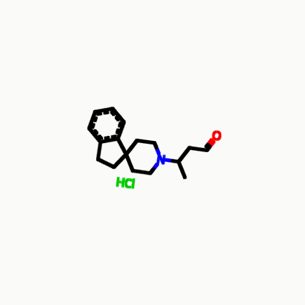 CC(CC=O)N1CCC2(CCc3ccccc32)CC1.Cl